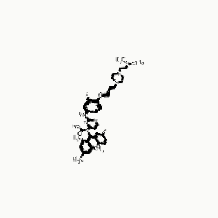 Cc1cc(C)c(C(c2cc(Cl)ccc2Cl)N(C(=O)O)c2ccnc(Nc3ccc(OCCCN4CCN(CCN(C)C)CC4)c(F)c3)n2)c(C)c1